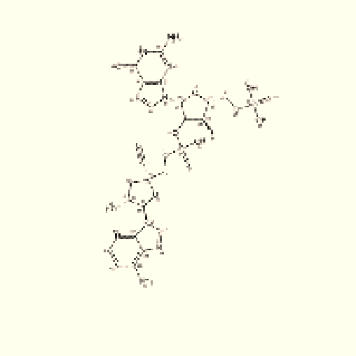 C#C[C@@]1(COP(O)(=S)OC2[C@H](n3cnc4c(=O)[nH]c(N)nc43)O[C@H](COP(O)(O)=S)[C@H]2F)C[C@@H](O)[C@H](n2cnc3c(N)ncnc32)O1